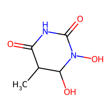 CC1C(=O)NC(=O)N(O)C1O